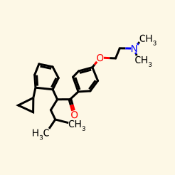 CC(C)CC(C(=O)c1ccc(OCCN(C)C)cc1)c1ccccc1C1CC1